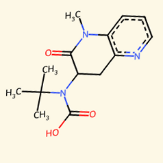 CN1C(=O)C(N(C(=O)O)C(C)(C)C)Cc2ncccc21